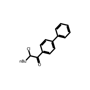 CCCCC(Cl)C(=O)c1ccc(-c2ccccc2)cc1